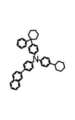 c1ccc(C2(c3ccc(N(c4ccc(-c5ccc6ccccc6c5)cc4)c4ccc(C5CCCCC5)cc4)cc3)CCCCC2)cc1